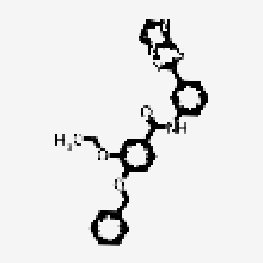 CCOc1cc(C(=O)Nc2cccc(-c3nn4ccnc4s3)c2)ccc1OCc1ccccc1